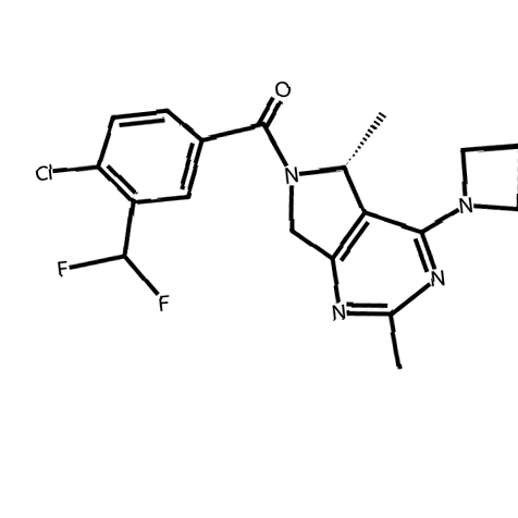 Cc1nc2c(c(N3CCC3)n1)[C@@H](C)N(C(=O)c1ccc(Cl)c(C(F)F)c1)C2